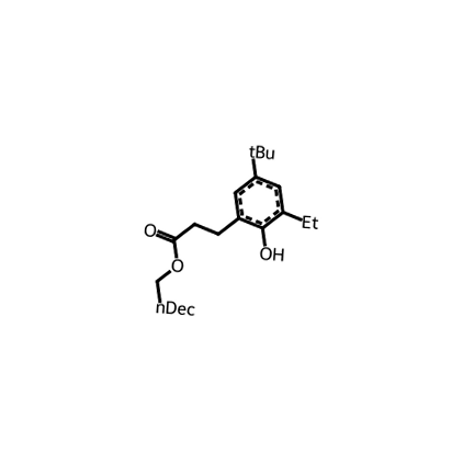 CCCCCCCCCCCOC(=O)CCc1cc(C(C)(C)C)cc(CC)c1O